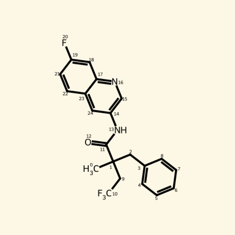 CC(Cc1ccccc1)(CC(F)(F)F)C(=O)Nc1cnc2cc(F)ccc2c1